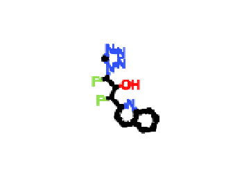 OC(C(F)c1ccc2ccccc2n1)C(F)n1cnnn1